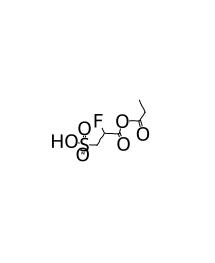 CCC(=O)OC(=O)C(F)CS(=O)(=O)O